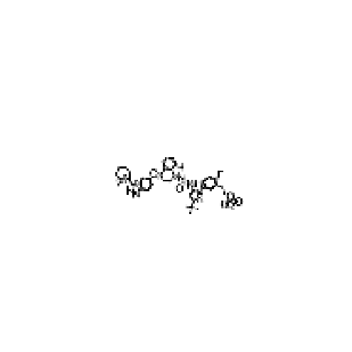 C[C@H]1CCCCN1c1nnc2ccc(O[C@@H]3CC[C@H](NC(=O)Nc4cc(C(C)(C)C)nn4-c4ccc(F)c(CCOS(C)(=O)=O)c4)c4ccccc43)cn12